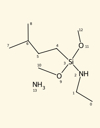 CCN[Si](CCC(C)C)(OC)OC.N